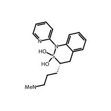 CNCCC[C@H]1Cc2ccccc2N(c2ccccn2)S1(O)O